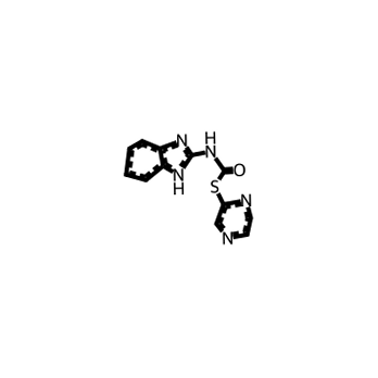 O=C(Nc1nc2ccccc2[nH]1)Sc1cnccn1